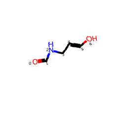 O=CNCC=CO